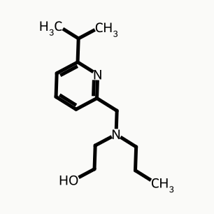 CCCN(CCO)Cc1cccc(C(C)C)n1